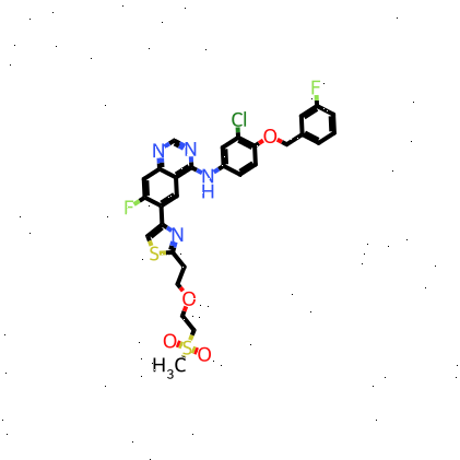 CS(=O)(=O)CCOCCc1nc(-c2cc3c(Nc4ccc(OCc5cccc(F)c5)c(Cl)c4)ncnc3cc2F)cs1